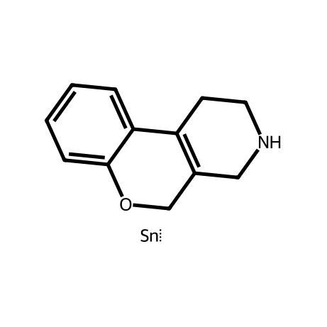 [Sn].c1ccc2c(c1)OCC1=C2CCNC1